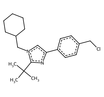 CC(C)(C)c1nc(-c2ccc(CCl)cc2)cn1CC1CCCCC1